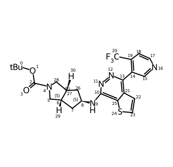 CC(C)(C)OC(=O)N1C[C@H]2C[C@H](Nc3nnc(-c4cnccc4C(F)(F)F)c4ccsc34)C[C@H]2C1